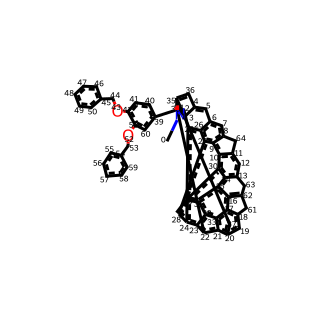 CN1CC23C4=Cc5cc6c7c8c(cc9c%10c%11c%12c%13c(cc%14c%15c(c%16c%17c2c5c7c%17c(c8%10)c%11c%16c%15%13)C3(C(=C4)C=%14)C1c1ccc(OCc2ccccc2)c(OCc2ccccc2)c1)CC=%12C9)C6